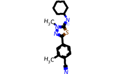 Cc1cc(-c2nn(C)/c(=N\C3CCCCC3)s2)ccc1C#N